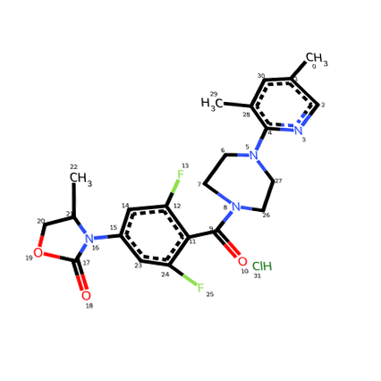 Cc1cnc(N2CCN(C(=O)c3c(F)cc(N4C(=O)OCC4C)cc3F)CC2)c(C)c1.Cl